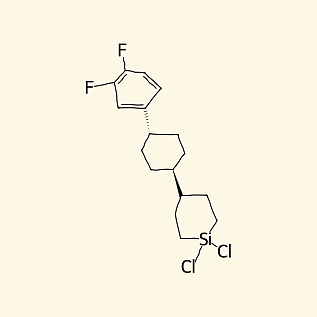 Fc1ccc([C@H]2CC[C@H](C3CC[Si](Cl)(Cl)CC3)CC2)cc1F